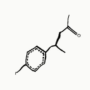 CC(=O)CC(C)c1ccc(I)cc1